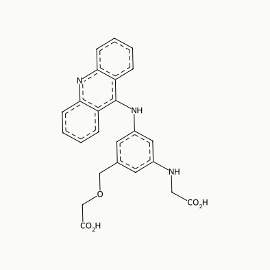 O=C(O)CNc1cc(COCC(=O)O)cc(Nc2c3ccccc3nc3ccccc23)c1